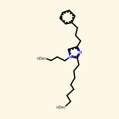 CCCCCCCCCCCCCCCCCc1nc(CCCc2ccccc2)cn1CCCCCCCCCCCCC